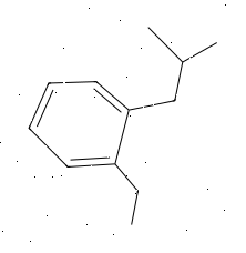 CCc1ccccc1CC(C)C